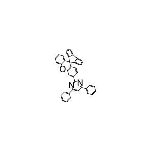 C1=CC(c2nc(-c3ccccc3)cc(-c3ccccc3)n2)CC2=C1C1(c3ccccc3O2)c2ccccc2-c2ccccc21